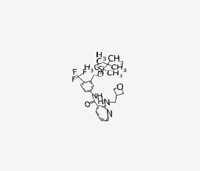 CC(C)(C)[Si](C)(C)OCc1cc(NC(=O)c2cccnc2NCC2COC2)ccc1C(F)(F)F